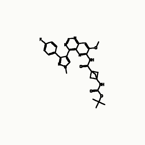 COc1cc2ncnc(-c3cn(C)nc3-c3ccc(F)cc3)c2nc1NC(=O)C12CC(NC(=O)OC(C)(C)C)(C1)C2